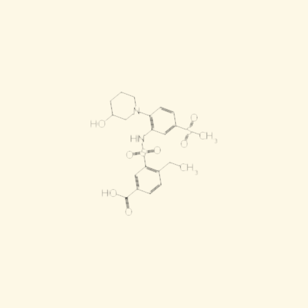 CCc1ccc(C(=O)O)cc1S(=O)(=O)Nc1cc(S(C)(=O)=O)ccc1N1CCCC(O)C1